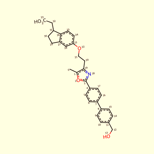 Cc1oc(-c2ccc(-c3ccc(CO)cc3)cc2)nc1CCOc1ccc2c(c1)CCC2CC(=O)O